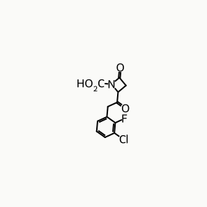 O=C(Cc1cccc(Cl)c1F)C1CC(=O)N1C(=O)O